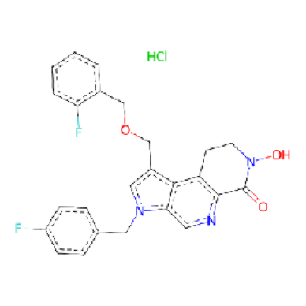 Cl.O=C1c2ncc3c(c(COCc4ccccc4F)cn3Cc3ccc(F)cc3)c2CCN1O